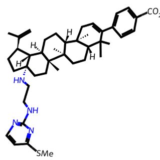 C=C(C)[C@@H]1CC[C@]2(NCCNc3nccc(SC)n3)CC[C@]3(C)[C@H](CC[C@@H]4[C@@]5(C)CC=C(c6ccc(C(=O)O)cc6)C(C)(C)[C@@H]5CC[C@]43C)[C@@H]12